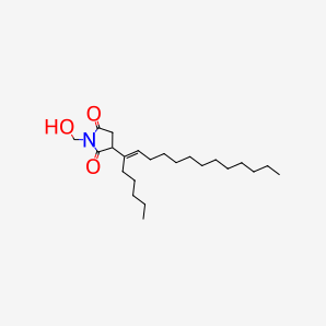 CCCCCCCCCCCC=C(CCCCC)C1CC(=O)N(CO)C1=O